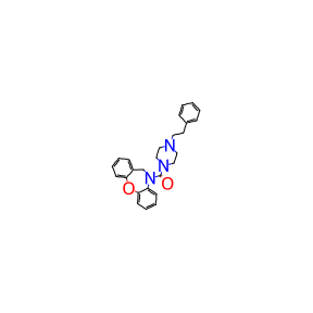 O=C(N1CCN(CCc2ccccc2)CC1)N1Cc2ccccc2Oc2ccccc21